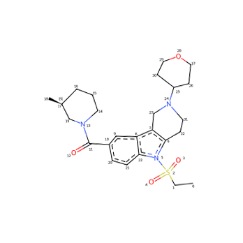 CCS(=O)(=O)n1c2c(c3cc(C(=O)N4CCC[C@H](C)C4)ccc31)CN(C1CCOCC1)CC2